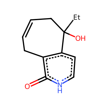 CCC1(O)CC=CCc2c1cc[nH]c2=O